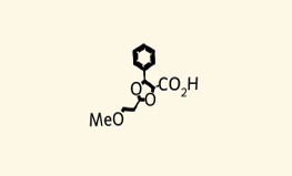 COCC[C@@H]1O[C@@H](C(=O)O)[C@H](c2ccccc2)O1